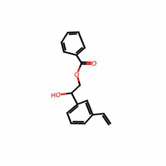 C=Cc1cccc(C(O)COC(=O)c2ccccc2)c1